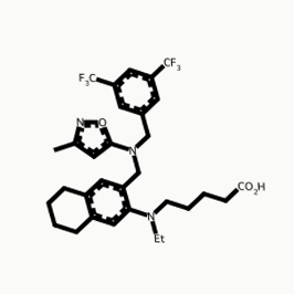 CCN(CCCCC(=O)O)c1cc2c(cc1CN(Cc1cc(C(F)(F)F)cc(C(F)(F)F)c1)c1cc(C)no1)CCCC2